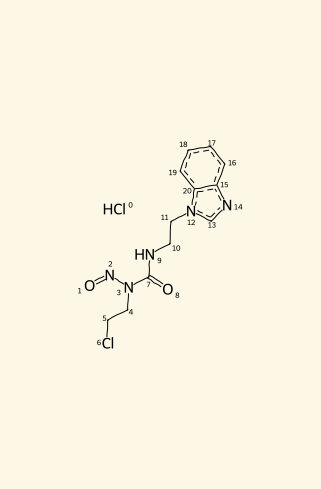 Cl.O=NN(CCCl)C(=O)NCCn1cnc2ccccc21